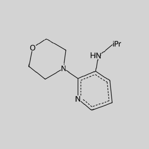 CC(C)Nc1cccnc1N1CCOCC1